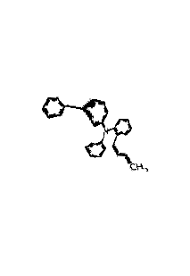 C=C/C=C\c1ccccc1N(c1ccccc1)c1cccc(-c2ccccc2)c1